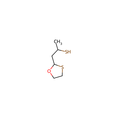 CC(S)CC1OCCS1